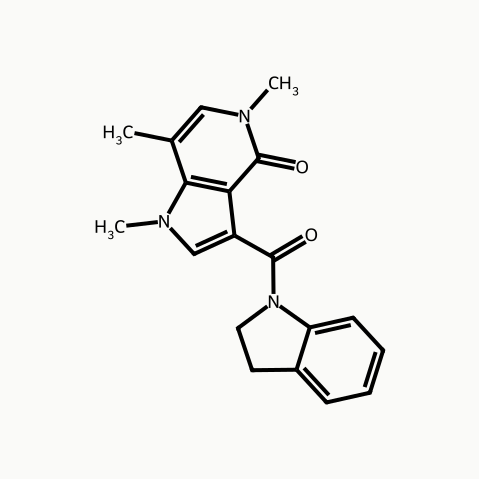 Cc1cn(C)c(=O)c2c(C(=O)N3CCc4ccccc43)cn(C)c12